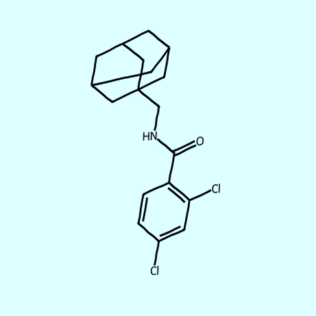 O=C(NCC12CC3CC(CC(C3)C1)C2)c1ccc(Cl)cc1Cl